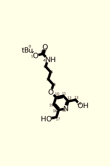 CC(C)(C)OC(=O)NCCCCOc1cc(CO)nc(CO)c1